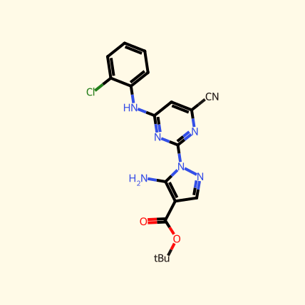 CC(C)(C)OC(=O)c1cnn(-c2nc(C#N)cc(Nc3ccccc3Cl)n2)c1N